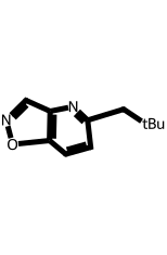 CC(C)(C)Cc1ccc2oncc2n1